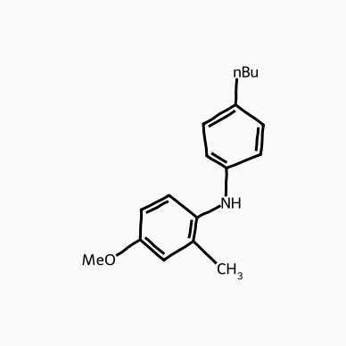 CCCCc1ccc(Nc2ccc(OC)cc2C)cc1